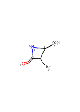 CC(=O)C1C(=O)NC1C(=O)O